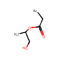 CC(=O)CC(=O)OC(C)CO